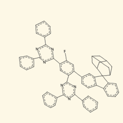 Fc1cc(-c2ccc3c(c2)C2(c4ccccc4-3)C3CC4CC(C3)CC2C4)c(-c2nc(-c3ccccc3)nc(-c3ccccc3)n2)cc1-c1nc(-c2ccccc2)nc(-c2ccccc2)n1